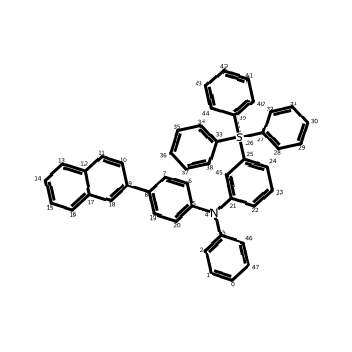 c1ccc(N(c2ccc(-c3ccc4ccccc4c3)cc2)c2cccc(S(c3ccccc3)(c3ccccc3)c3ccccc3)c2)cc1